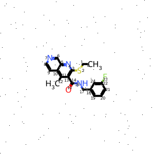 CCSc1nc2cnccc2c(C)c1C(=O)NCc1cccc(F)c1